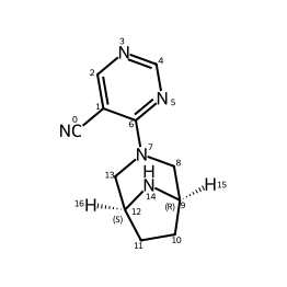 N#Cc1cncnc1N1C[C@H]2CC[C@@H](C1)N2